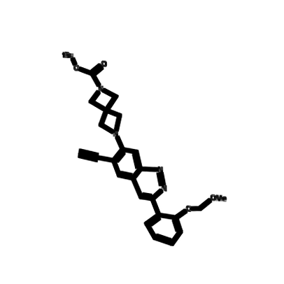 C#Cc1cc2cc(-c3ccccc3OCOC)nnc2cc1N1CC2(CN(C(=O)OC(C)(C)C)C2)C1